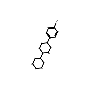 Fc1ccc(C2CCC(C3CCCCC3)CC2)cc1